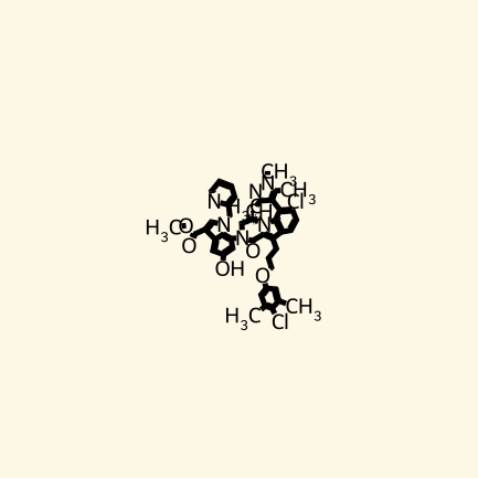 COC(=O)c1cn(Cc2ccccn2)c2c(N3C[C@@H](C)n4c(c(CCCOc5cc(C)c(Cl)c(C)c5)c5ccc(Cl)c(-c6c(C)nn(C)c6C)c54)C3=O)cc(O)cc12